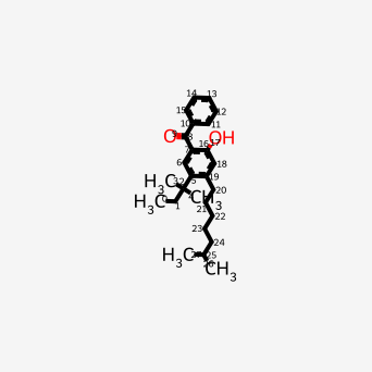 CCC(C)(C)c1cc(C(=O)c2ccccc2)c(O)cc1CCCCCC(C)C